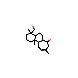 CC1=CCC2C(CCC3C(C)(CO)CCCC23C)C(=O)C1